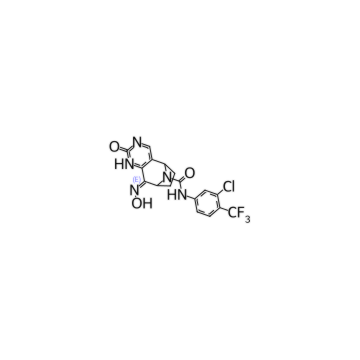 O=C(Nc1ccc(C(F)(F)F)c(Cl)c1)N1C2CCC1c1cnc(=O)[nH]c1/C2=N/O